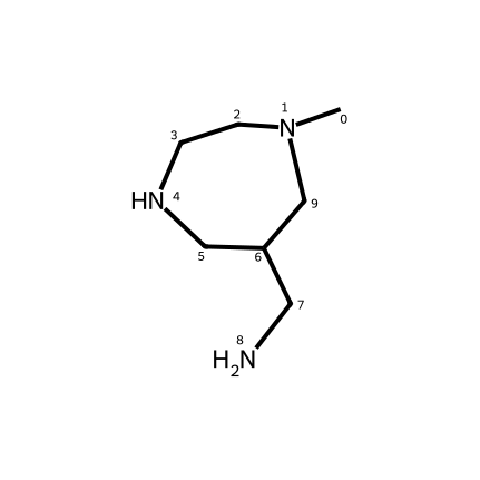 CN1CCNCC(CN)C1